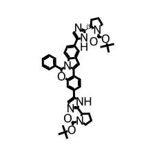 CC(C)(C)OC(=O)N1CCCC1c1ncc(-c2ccc3c(c2)OC(c2ccccc2)n2c-3cc3cc(-c4cnc([C@@H]5CCCN5C(=O)OC(C)(C)C)[nH]4)ccc32)[nH]1